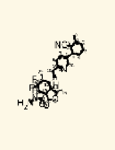 Cc1cccc(-c2ccc(C=C[C@@H]3[C@@H]4[C@@H](C)OC(=O)[C@]4(C(=O)NN)CC(F)(F)[C@H]3C)nc2)c1C#N